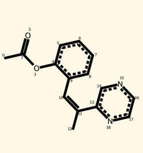 CC(=O)Oc1ccccc1/C=C(/C)c1cnccn1